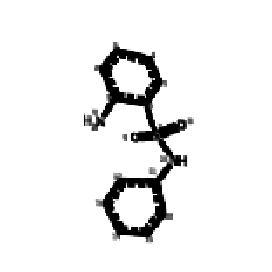 Nc1ccccc1S(=O)(=O)Nc1ccccc1